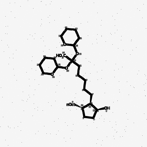 CCCCCCCC[C@H]1CC[C@H](O)[C@@H]1CCCCCC(OC1CCCCO1)(OC1CCCCO1)C(=O)O